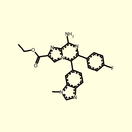 CCOC(=O)c1cn2c(-c3ccc4ncn(C)c4c3)c(-c3ccc(F)cc3)nc(N)c2n1